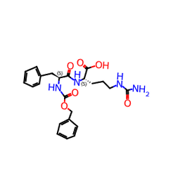 NC(=O)NCCC[C@H](NC(=O)[C@H](Cc1ccccc1)NC(=O)OCc1ccccc1)C(=O)O